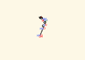 C[C@]12CC3CC(NC(=O)Nc4ccc(C(=O)N5CCC[C@H](C(=O)NCCCCCCC(=O)NO)C5)cc4F)(C1)C[C@@](C)(C3)C2